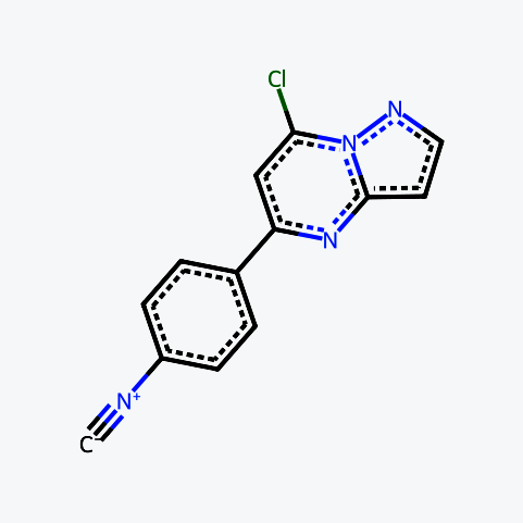 [C-]#[N+]c1ccc(-c2cc(Cl)n3nccc3n2)cc1